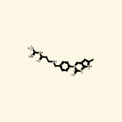 Cc1cc2cn(-c3ccc(CNCCC(=O)NC(=N)N)cc3)c(=O)nc2[nH]1